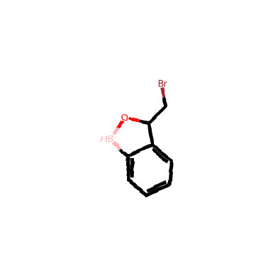 BrCC1OBc2ccccc21